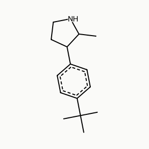 CC1NCCC1c1ccc(C(C)(C)C)cc1